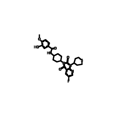 COc1ccc(C(=O)NC2CCC(n3c(=O)c4cc(F)cnc4n(C4CCSCC4)c3=O)CC2)cc1O